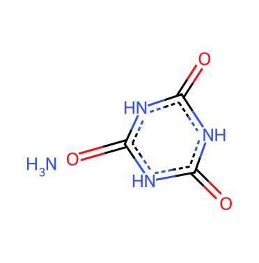 N.O=c1[nH]c(=O)[nH]c(=O)[nH]1